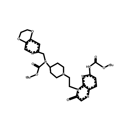 CC(C)(C)OC(=O)Nc1ccc2ncc(=O)n(CCN3CCC(N(Cc4cc5c(cn4)OCCO5)C(=O)OC(C)(C)C)CC3)c2n1